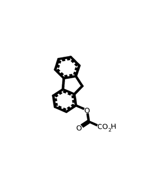 O=C(O)C(=O)Oc1cccc2c1Cc1ccccc1-2